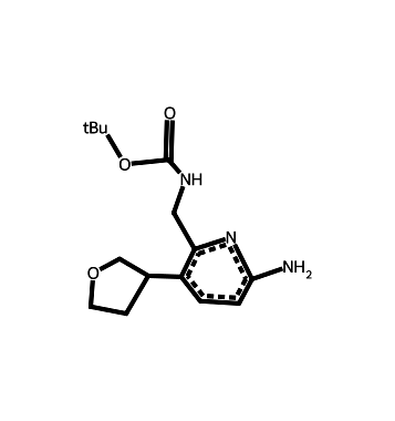 CC(C)(C)OC(=O)NCc1nc(N)ccc1C1CCOC1